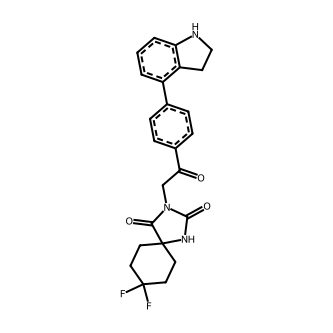 O=C(CN1C(=O)NC2(CCC(F)(F)CC2)C1=O)c1ccc(-c2cccc3c2CCN3)cc1